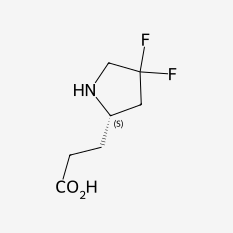 O=C(O)CC[C@H]1CC(F)(F)CN1